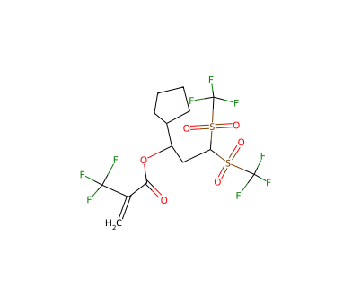 C=C(C(=O)OC(CC(S(=O)(=O)C(F)(F)F)S(=O)(=O)C(F)(F)F)C1CCCC1)C(F)(F)F